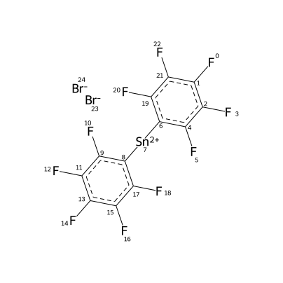 Fc1c(F)c(F)[c]([Sn+2][c]2c(F)c(F)c(F)c(F)c2F)c(F)c1F.[Br-].[Br-]